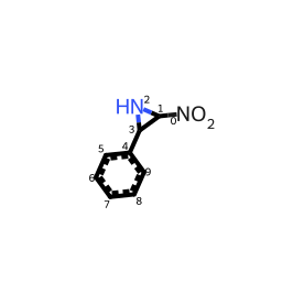 O=[N+]([O-])C1NC1c1ccccc1